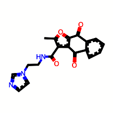 Cc1oc2c(c1C(=O)NCCn1ccnc1)C(=O)c1ccccc1C2=O